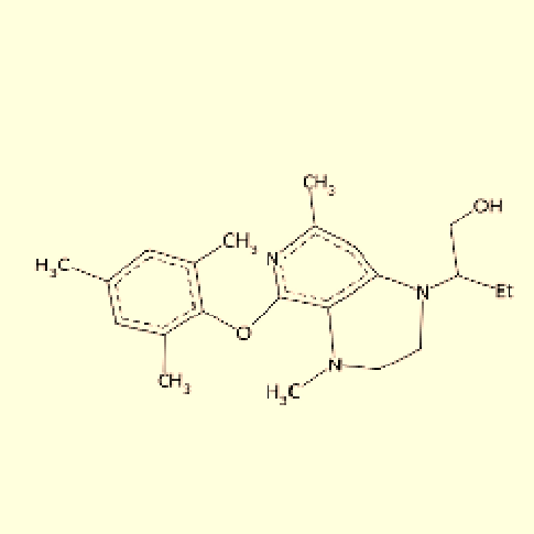 CCC(CO)N1CCN(C)c2c1cc(C)nc2Oc1c(C)cc(C)cc1C